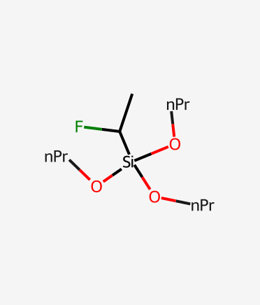 CCCO[Si](OCCC)(OCCC)C(C)F